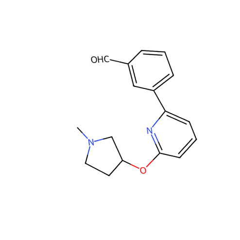 CN1CCC(Oc2cccc(-c3cccc(C=O)c3)n2)C1